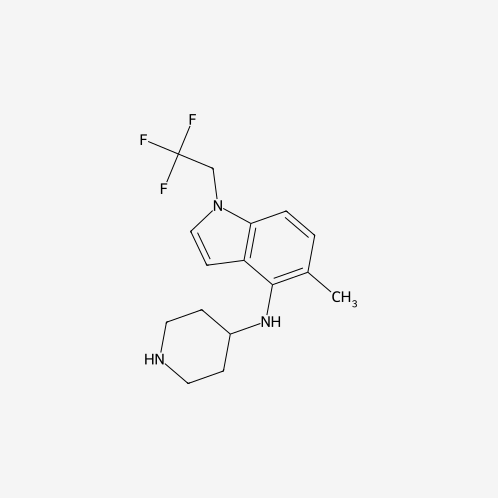 Cc1ccc2c(ccn2CC(F)(F)F)c1NC1CCNCC1